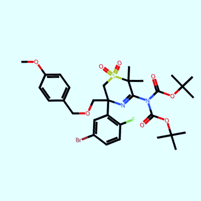 COc1ccc(COCC2(c3cc(Br)ccc3F)CS(=O)(=O)C(C)(C)C(N(C(=O)OC(C)(C)C)C(=O)OC(C)(C)C)=N2)cc1